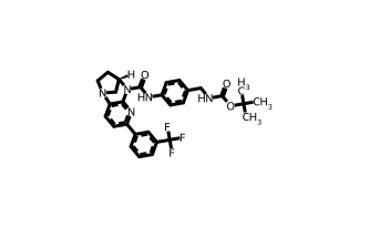 CC(C)(C)OC(=O)NCc1ccc(NC(=O)N2c3nc(-c4cccc(C(F)(F)F)c4)ccc3N3CC[C@H]2C3)cc1